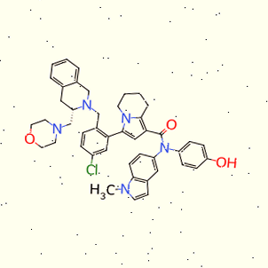 Cn1ccc2cc(N(C(=O)c3cc(-c4cc(Cl)ccc4CN4Cc5ccccc5C[C@H]4CN4CCOCC4)n4c3CCCC4)c3ccc(O)cc3)ccc21